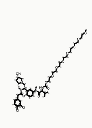 COCCOCCOCCOCCOCCOCCOCCOC(=O)NC(C(=O)Nc1cccc([C@@H](CN2CC[C@H](O)C2)N(C)C(=O)Cc2ccc(Cl)c(Cl)c2)c1)C(C)C